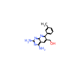 Cc1cccc(-c2nc3nc(N)nc(N)c3cc2CO)c1